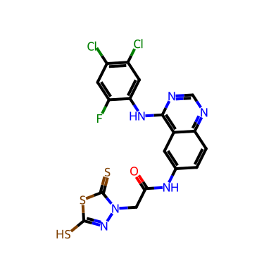 O=C(Cn1nc(S)sc1=S)Nc1ccc2ncnc(Nc3cc(Cl)c(Cl)cc3F)c2c1